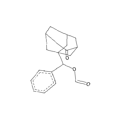 O=COC(c1ccccc1)C12CC3CC(C1)C(=O)C(C3)C2